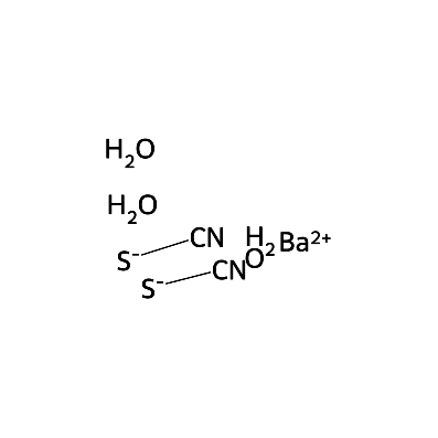 N#C[S-].N#C[S-].O.O.O.[Ba+2]